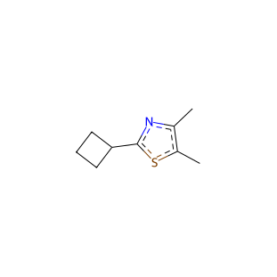 Cc1nc(C2CCC2)sc1C